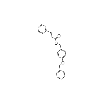 O=C(/C=C/c1ccccc1)OCc1ccc(OCc2ccccc2)cc1